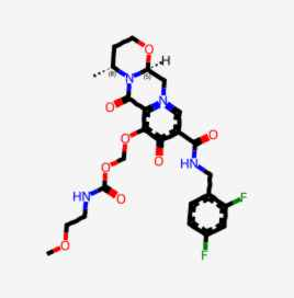 COCCNC(=O)OCOc1c2n(cc(C(=O)NCc3ccc(F)cc3F)c1=O)C[C@@H]1OCC[C@@H](C)N1C2=O